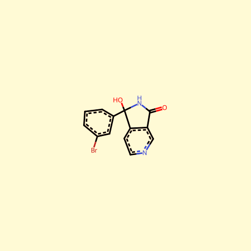 O=C1NC(O)(c2cccc(Br)c2)c2ccncc21